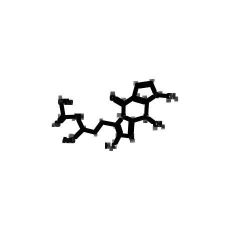 COC(=O)NC(CCc1c(C)nc2n(C)c3c(ccn3C)c(=O)n12)OC(C)=O